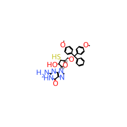 COc1ccc(C(OC[C@H]2O[C@@H](n3cnc4c(=O)[nH]c(N)nc43)C(O)C2S)(c2ccccc2)c2ccc(OC)cc2)cc1